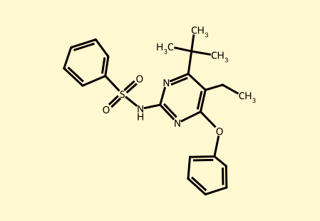 CCc1c(Oc2ccccc2)nc(NS(=O)(=O)c2ccccc2)nc1C(C)(C)C